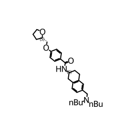 CCCCN(CCCC)Cc1ccc2c(c1)CC[C@H](NC(=O)c1ccc(OC[C@@H]3CCCO3)cc1)C2